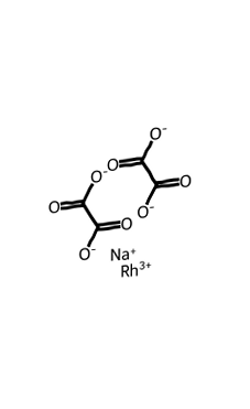 O=C([O-])C(=O)[O-].O=C([O-])C(=O)[O-].[Na+].[Rh+3]